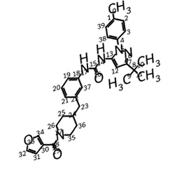 Cc1ccc(-n2nc(C(C)(C)C)cc2NC(=O)Nc2cccc(CC3CCN(C(=O)c4ccoc4)CC3)c2)cc1